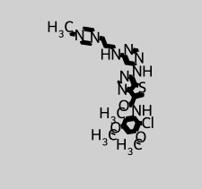 CCN1CCN(CCCNc2cc(Nc3ncnc4c(C(=O)Nc5c(C)c(OC)cc(OC)c5Cl)csc34)ncn2)CC1